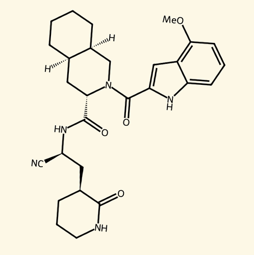 COc1cccc2[nH]c(C(=O)N3C[C@@H]4CCCC[C@@H]4C[C@H]3C(=O)N[C@H](C#N)C[C@@H]3CCCNC3=O)cc12